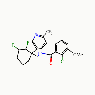 COc1cccc(C(=O)NCC2(c3ccc(C(F)(F)F)nc3)CCCC(F)C2F)c1Cl